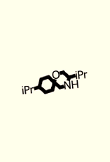 CC(C)C1CCC2(CC1)CNC(C(C)C)CO2